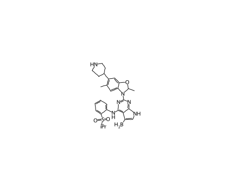 Bc1c[nH]c2nc(N3c4cc(C)c(C5CCNCC5)cc4OC3C)nc(Nc3ccccc3S(=O)(=O)C(C)C)c12